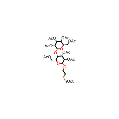 CCCCCCCCSCCO[C@@H]1O[C@H](COC(C)=O)[C@H](O[C@H]2O[C@H](COC(C)=O)[C@H](OC(C)=O)[C@H](OC(C)=O)[C@H]2OC(C)=O)[C@H](OC(C)=O)[C@H]1OC(C)=O